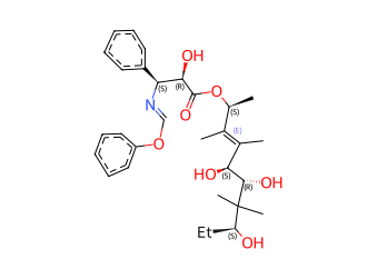 CC[C@H](O)C(C)(C)[C@@H](O)[C@@H](O)/C(C)=C(\C)[C@H](C)OC(=O)[C@H](O)[C@@H](N=COc1ccccc1)c1ccccc1